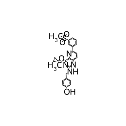 CC1(Oc2nc(NCc3ccc(O)cc3)nc3ccc(-c4cccc(S(C)(=O)=O)c4)nc23)CC1